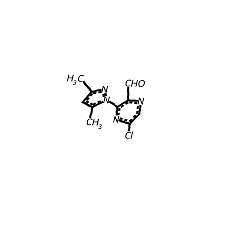 Cc1cc(C)n(-c2nc(Cl)cnc2C=O)n1